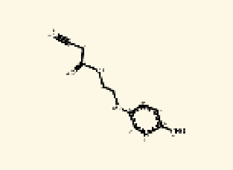 C#CCC(=O)OCCOc1ccc(C=O)nc1